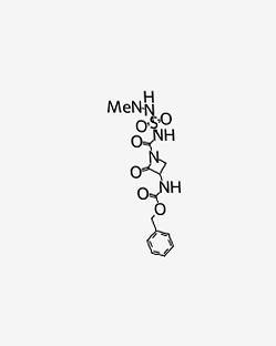 CNNS(=O)(=O)NC(=O)N1CC(NC(=O)OCc2ccccc2)C1=O